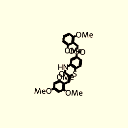 COc1cc(OC)c(/C=C2/Sc3ccc(S(=O)(=O)Cc4c(OC)cccc4OC)cc3NC2=O)c(OC)c1